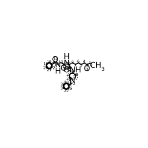 CCC(=O)CCCCC[C@H](NC(=O)CNC(=O)c1ccccc1)C(=O)NC1CCN(Cc2ccccc2)CC1